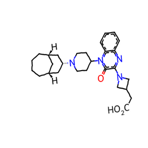 O=C(O)CC1CN(c2nc3ccccc3n(C3CCN([C@@H]4C[C@@H]5CCCC[C@@H](C5)C4)CC3)c2=O)C1